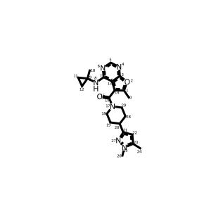 Cc1oc2ncnc(NC3(C)CC3)c2c1C(=O)N1CCC(c2cc(C)n(C)n2)CC1